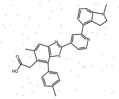 Cc1ccc(-c2c(CC(=O)O)c(C)cc3nc(-c4ccnc(-c5cccc6c5CCN6C)c4)sc23)cc1